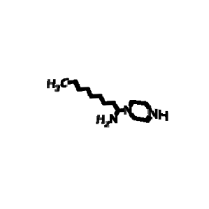 CCCCCCCCC(N)N1CCNCC1